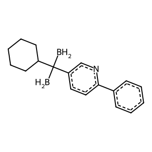 BC(B)(c1ccc(-c2ccccc2)nc1)C1CCCCC1